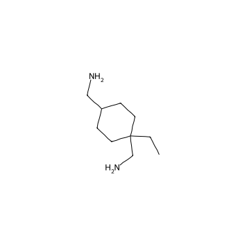 CCC1(CN)CCC(CN)CC1